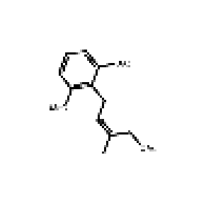 COc1cccc(OC(C)=O)c1C/C=C(/C)COC(C)=O